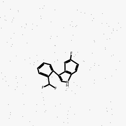 Fc1ccc2[nH]cc(-c3ccccc3C(F)F)c2c1